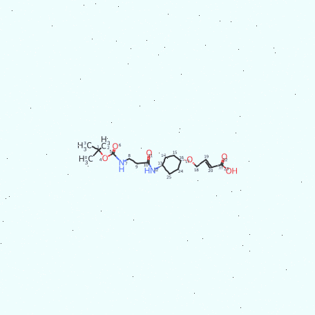 CC(C)(C)OC(=O)NCCC(=O)N[C@H]1CC[C@H](OC/C=C/C(=O)O)CC1